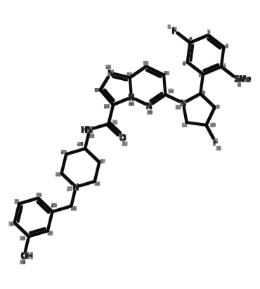 CSc1ccc(F)cc1C1CC(F)CN1c1ccc2ncc(C(=O)NC3CCN(Cc4cccc(O)c4)CC3)n2n1